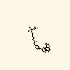 Cc1cccc2ncc(-c3cnn(CCCCCCNC(=O)OC(C)(C)C)c3)nc12